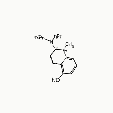 CCCN(CCC)[C@H]1CCc2c(O)cccc2[C@H]1C